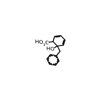 O=C(O)C1C=CC=CC1(O)Cc1ccccc1